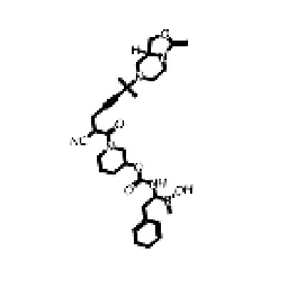 C=C1OC[C@H]2CN(C(C)(C)C#CCC(C#N)C(=O)N3CCCC(OC(=O)NC(CC4=CCCC=C4)B(C)O)C3)CCN12